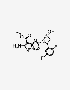 CCOC(=O)c1c(N)nn2ccc(N3C[C@H](O)CC3c3cc(F)ccc3F)nc12